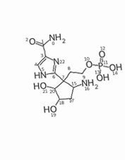 NC(=O)c1c[nH]c(C2(CCOP(=O)(O)O)C(N)[CH]C(O)C2O)n1